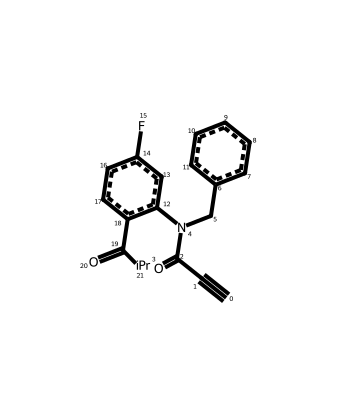 C#CC(=O)N(Cc1ccccc1)c1cc(F)ccc1C(=O)C(C)C